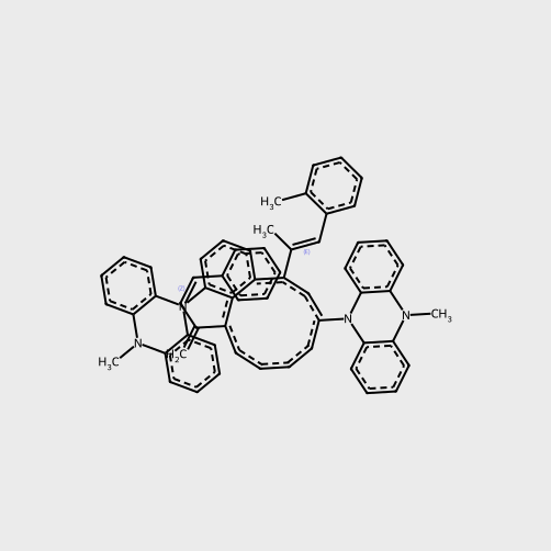 C=C(/C=C\c1ccccc1)c1ccccc(N2c3ccccc3N(C)c3ccccc32)cc(/C(C)=C/c2ccccc2C)c2cccc(N3c4ccccc4N(C)c4ccccc43)c12